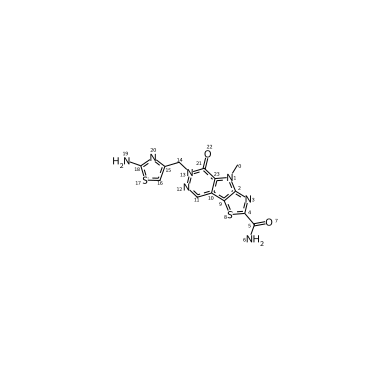 Cn1c2nc(C(N)=O)sc2c2cnn(Cc3csc(N)n3)c(=O)c21